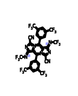 N#Cc1n/c(=N\C(F)(F)F)c2c(-c3cc(C(F)(F)F)cc(C(F)(F)F)c3)n3c(C#N)n/c(=N\C(F)(F)F)c3c(-c3cc(C(F)(F)F)cc(C(F)(F)F)c3)n12